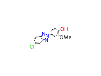 COc1cc(-n2nc3ccc(Cl)cc3n2)ccc1O